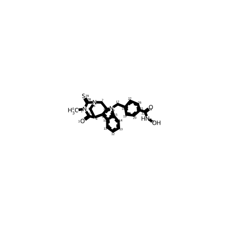 CN1C(=O)C2CN(Cc3c2c2ccccc2n3Cc2ccc(C(=O)NO)cc2)C1=S